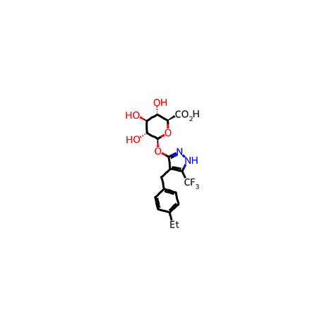 CCc1ccc(Cc2c(O[C@@H]3O[C@H](C(=O)O)[C@@H](O)[C@H](O)[C@H]3O)n[nH]c2C(F)(F)F)cc1